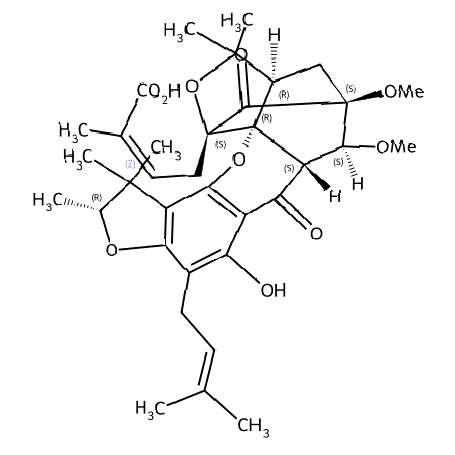 CO[C@H]1[C@@H]2C(=O)c3c(O)c(CC=C(C)C)c4c(c3O[C@]23[C@@H]2C[C@@]1(OC)C(=O)[C@@]3(C/C=C(/C)C(=O)O)OC2(C)C)C(C)(C)[C@@H](C)O4